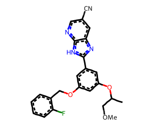 COCC(C)Oc1cc(OCc2ccccc2F)cc(-c2nc3cc(C#N)cnc3[nH]2)c1